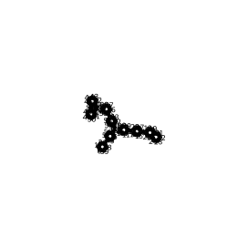 c1ccc(-c2ccc(N(c3ccc(-c4ccc(-c5ccc6ccccc6c5)cc4)cc3)c3ccc(-c4cccc(-n5c6ccccc6c6ccccc65)c4)cc3)cc2)cc1